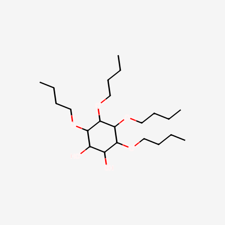 CCCCOC1C(O)C(O)C(OCCCC)C(OCCCC)C1OCCCC